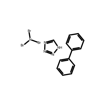 BrN(Br)Br.c1ccc(-c2ccccc2)cc1.c1nnn[nH]1